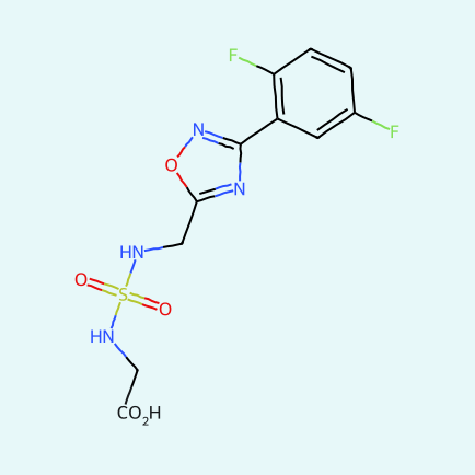 O=C(O)CNS(=O)(=O)NCc1nc(-c2cc(F)ccc2F)no1